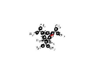 CSN1c2cc3c(cc2B2c4cc5c(cc4N(SC)c4cc(N(c6ccc(C)cc6)c6ccc(C)cc6)cc1c42)Oc1cc(N(c2ccc(C)cc2)c2ccc(C)cc2)cc2c1B5c1ccccc1O2)B1c2ccccc2Oc2cc(N(c4ccc(C)cc4)c4ccc(C)cc4)cc(c21)O3